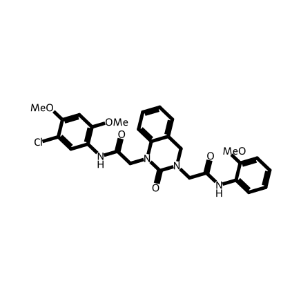 COc1cc(OC)c(NC(=O)CN2C(=O)N(CC(=O)Nc3ccccc3OC)Cc3ccccc32)cc1Cl